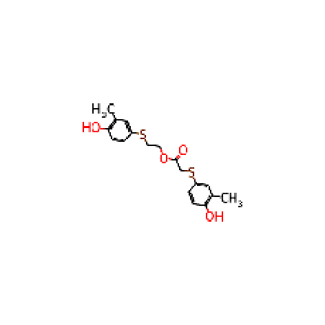 Cc1cc(SCCOC(=O)CSc2ccc(O)c(C)c2)ccc1O